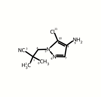 CC(C)(C#N)Cn1ncc(N)c1Cl